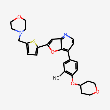 N#Cc1cc(-c2ccnc3cc(-c4ccc(CN5CCOCC5)s4)oc23)ccc1OC1CCOCC1